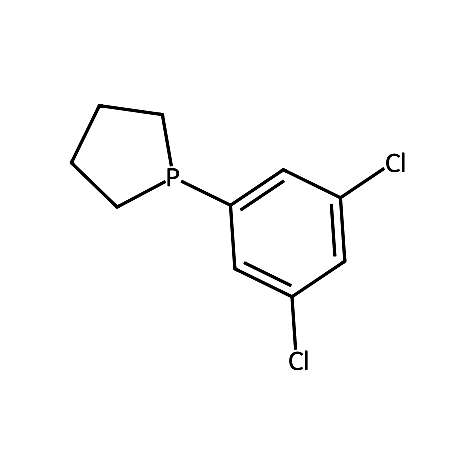 Clc1cc(Cl)cc(P2CCCC2)c1